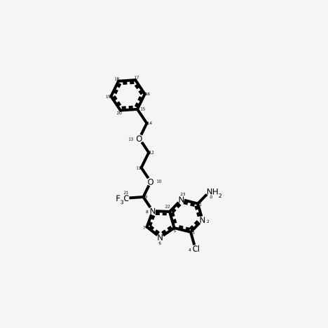 Nc1nc(Cl)c2ncn(C(OCCOCc3ccccc3)C(F)(F)F)c2n1